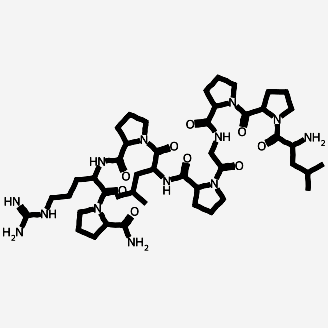 CC(C)CC(N)C(=O)N1CCCC1C(=O)N1CCCC1C(=O)NCC(=O)N1CCCC1C(=O)NC(CC(C)C)C(=O)N1CCCC1C(=O)NC(CCCNC(=N)N)C(=O)N1CCCC1C(N)=O